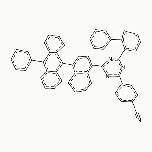 N#Cc1ccc(-c2nc(-c3ccccc3-c3ccccc3)nc(-c3ccc(-c4c5ccccc5c(-c5ccccc5)c5ccccc45)c4ccccc34)n2)cc1